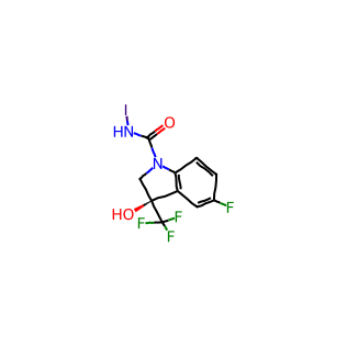 O=C(NI)N1C[C@@](O)(C(F)(F)F)c2cc(F)ccc21